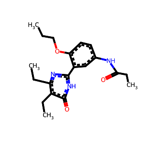 CCCOc1ccc(NC(=O)CC)cc1-c1nc(CC)c(CC)c(=O)[nH]1